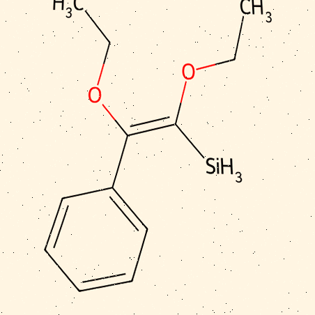 CCOC([SiH3])=C(OCC)c1ccccc1